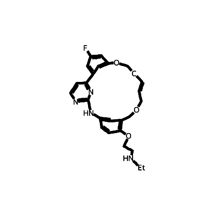 CCNCCOc1ccc2cc1COC/C=C/CCOc1cc(F)cc(c1)-c1ccnc(n1)N2